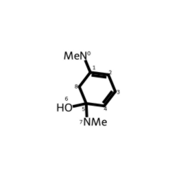 CNC1=CC=CC(O)(NC)C1